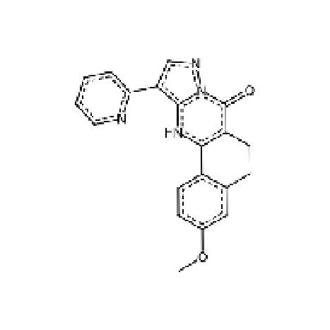 COc1ccc2c(c1)CCc1c-2[nH]c2c(-c3ccccn3)cnn2c1=O